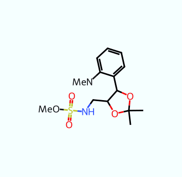 CNc1ccccc1C1OC(C)(C)OC1CNS(=O)(=O)OC